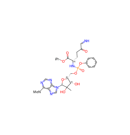 CNc1ncnc2c1ncn2C1O[C@H](COP(=O)(N[C@@H](CCC(=O)C=N)C(=O)OC(C)C)Oc2ccccc2)[C@H](O)C1(C)O